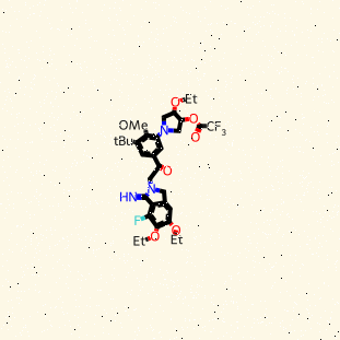 CCOc1cc2c(c(F)c1OCC)C(=N)N(CC(=O)c1cc(N3CC(OCC)C(OC(=O)C(F)(F)F)C3)c(OC)c(C(C)(C)C)c1)C2